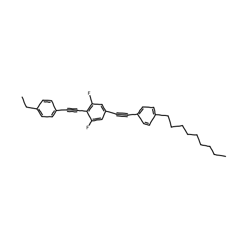 CCCCCCCCCc1ccc(C#Cc2cc(F)c(C#Cc3ccc(CC)cc3)c(F)c2)cc1